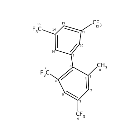 Cc1cc(C(F)(F)F)cc(C(F)(F)F)c1-c1cc(C(F)(F)F)cc(C(F)(F)F)c1